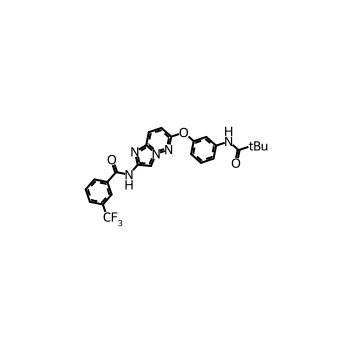 CC(C)(C)C(=O)Nc1cccc(Oc2ccc3nc(NC(=O)c4cccc(C(F)(F)F)c4)cn3n2)c1